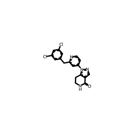 O=C1NCCc2c1cnn2-c1ccnc(Cc2cc(Cl)cc(Cl)c2)c1